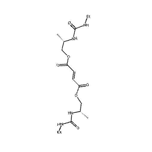 CCNC(=O)N[C@@H](C)COC(=O)/C=C/C(=O)OC[C@H](C)NC(=O)NCC